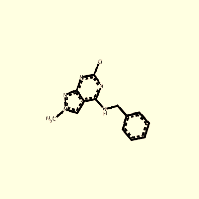 Cn1cc2c(NCc3ccccc3)nc(Cl)nc2n1